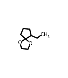 CCC1CCCC12OCCO2